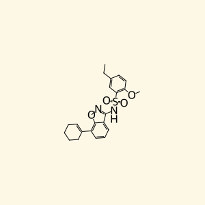 CCc1ccc(OC)c(S(=O)(=O)Nc2noc3c(C4=CCCCC4)cccc23)c1